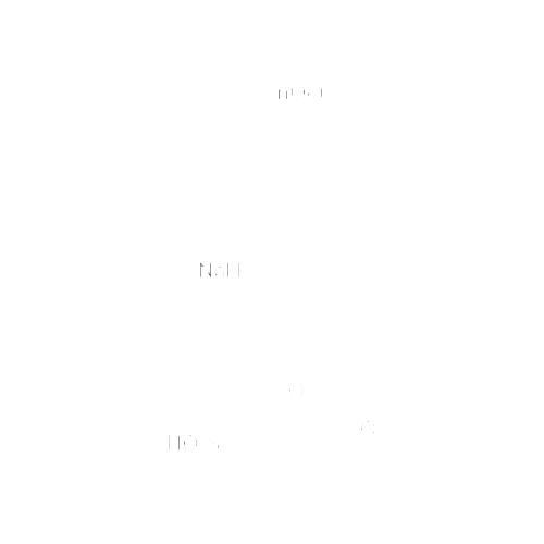 CCCCCCCCCCCCCC(=O)OCS(=O)(=O)O.[NaH]